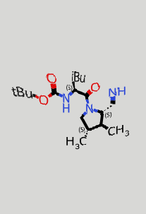 CCC(C)[C@H](NC(=O)OC(C)(C)C)C(=O)N1C[C@@H](C)C(C)[C@H]1C=N